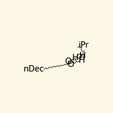 CCCCCCCCCCCCCCCCCCCCCCCC(=O)OC1CC[C@@]2(C)C(CC[C@H]3[C@@H]4CC[C@H]([C@H](C)CC[C@H](C)C(C)C)[C@@]4(C)CC[C@@H]32)C1